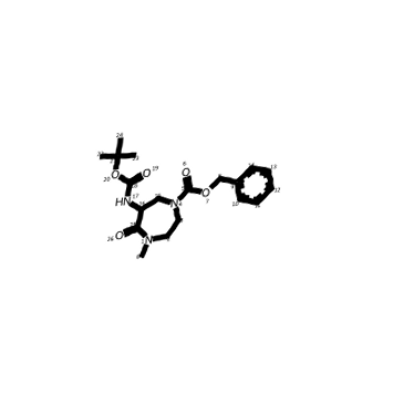 CN1CCN(C(=O)OCc2ccccc2)CC(NC(=O)OC(C)(C)C)C1=O